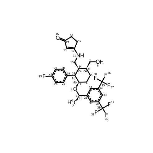 C[C@@H](O[C@@H]1CC[C@H](CO)[C@H](CNC2=CC(=O)CC2)[C@@H]1c1ccc(F)cc1)c1cc(C(F)(F)F)cc(C(F)(F)F)c1